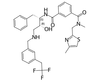 Cc1csc(CN(C)C(=O)c2cccc(C(=O)N[C@@H](Cc3ccccc3)[C@H](O)CNCc3cccc(CC(F)(F)F)c3)c2)n1